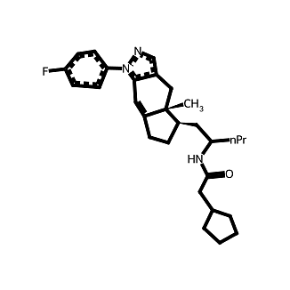 CCCC(C[C@H]1CCC2=Cc3c(cnn3-c3ccc(F)cc3)C[C@@]21C)NC(=O)CC1CCCC1